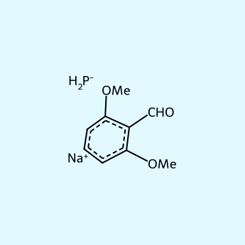 COc1cccc(OC)c1C=O.[Na+].[PH2-]